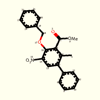 COC(=O)c1c(C)c(-c2ccccc2)cc([N+](=O)[O-])c1OCc1ccccc1